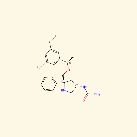 C[C@@H](OC[C@@]1(c2ccccc2)C[C@H](NC(N)=O)CN1)c1cc(CF)cc(C(F)(F)F)c1